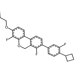 CCCOc1ccc2c(c1F)OCc1c-2ccc(-c2ccc(C3CCC3)c(F)c2)c1F